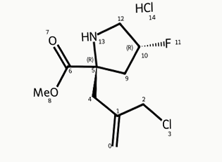 C=C(CCl)C[C@]1(C(=O)OC)C[C@@H](F)CN1.Cl